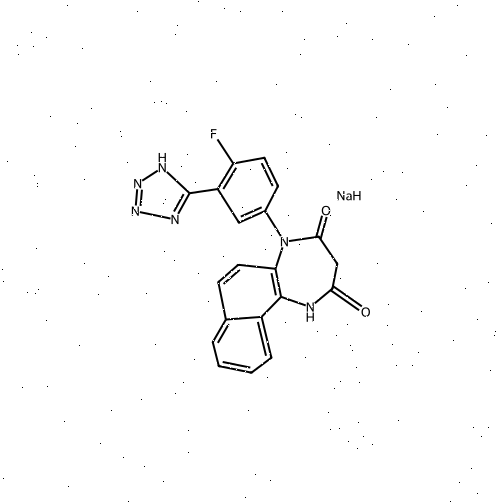 O=C1CC(=O)N(c2ccc(F)c(-c3nnn[nH]3)c2)c2ccc3ccccc3c2N1.[NaH]